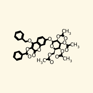 CC(=O)OC[C@H]1O[C@@H](Oc2ccc3c(OCc4ccccc4)c(OC(=O)c4ccccc4)c(=O)oc3c2)[C@H](OC(C)=O)[C@@H](OC(C)=O)[C@H]1OC(C)=O